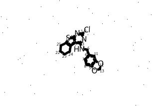 Clc1nc(NCc2ccc3c(c2)OCO3)c2c3c(sc2n1)CCCC3